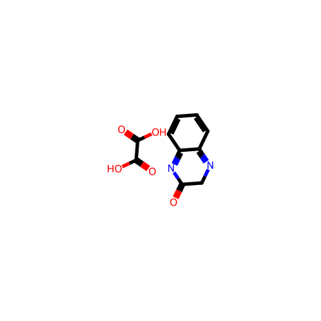 O=C(O)C(=O)O.O=C1CN=c2ccccc2=N1